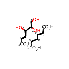 O=C(O)C=CC(O)C(O)CO.O=C(O)CCCCC(=O)O